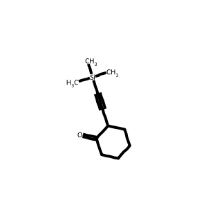 C[Si](C)(C)C#CC1CCCCC1=O